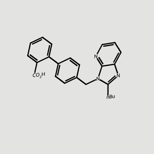 CCCCc1nc2cccnc2n1Cc1ccc(-c2ccccc2C(=O)O)cc1